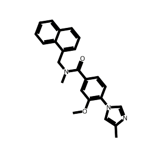 COc1cc(C(=O)N(C)Cc2cccc3ccccc23)ccc1-n1cnc(C)c1